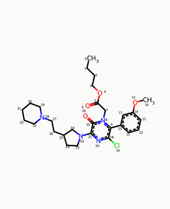 CCCCOC(=O)Cn1c(-c2cccc(OC)c2)c(Cl)nc(N2CCC(CCN3CCCCC3)C2)c1=O